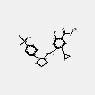 COC(=O)c1cc(C2CC2)c(OC[C@H]2CCCN2c2ccc(C(F)(F)F)cc2)cc1F